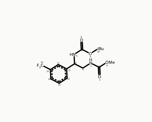 COC(=O)NCC(NC(=O)OC(C)(C)C)c1cccc(C(F)(F)F)c1